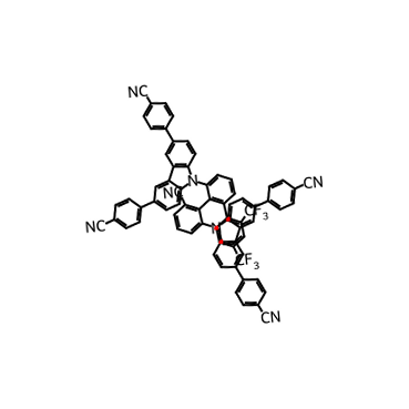 N#Cc1ccc(-c2ccc3c(c2)c2cc(-c4ccc(C#N)cc4)ccc2n3-c2cccc(C#N)c2-c2c(-c3ccc(C(F)(F)F)cc3C(F)(F)F)cccc2-n2c3ccc(-c4ccc(C#N)cc4)cc3c3cc(-c4ccc(C#N)cc4)ccc32)cc1